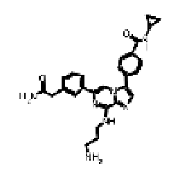 NCCCNc1nc(-c2cccc(CC(N)=O)c2)cn2c(-c3ccc(C(=O)NC4CC4)cc3)cnc12